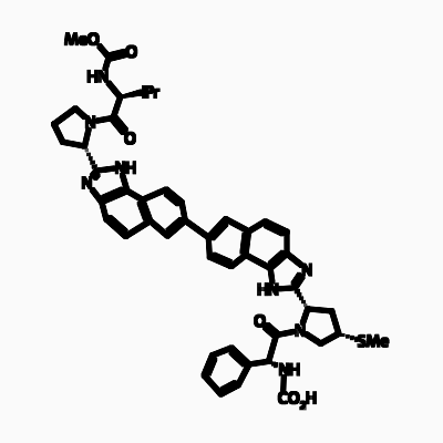 COC(=O)N[C@H](C(=O)N1CCC[C@H]1c1nc2ccc3cc(-c4ccc5c(ccc6nc([C@@H]7C[C@H](SC)CN7C(=O)[C@H](NC(=O)O)c7ccccc7)[nH]c65)c4)ccc3c2[nH]1)C(C)C